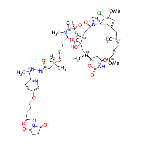 COc1cc2cc(c1Cl)N(C)C(=O)C[C@H](OC(=O)[C@H](C)N(C)C(=O)CCSSC(C)(C)CC(=O)N/N=C(/C)c1ccc(OCCCC(=O)ON3C(=O)CCC3=O)cn1)C(C)(O)C[C@H](C)[C@@H]1C[C@@](O)(NC(=O)O1)[C@H](OC)/C=C/C=C(\C)C2